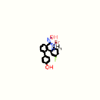 Cc1ccc(F)cc1-c1c(C(=NO)NBr)cccc1-c1ccc(O)cc1